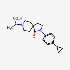 CC(C(=O)O)N1CCC2(CCN(c3ccc(C4CC4)cc3)C2=O)CC1